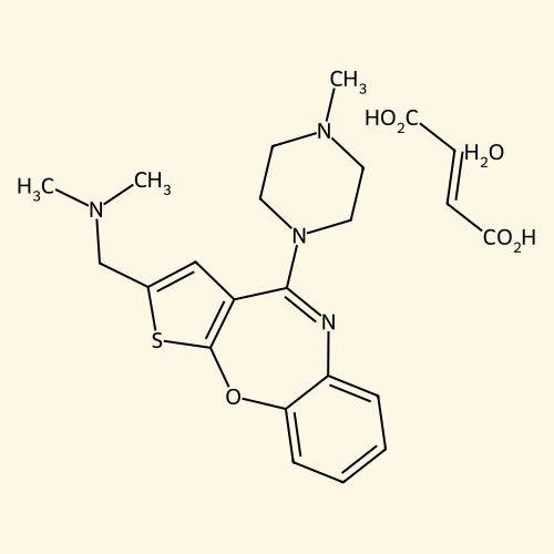 CN(C)Cc1cc2c(s1)Oc1ccccc1N=C2N1CCN(C)CC1.O.O=C(O)C=CC(=O)O